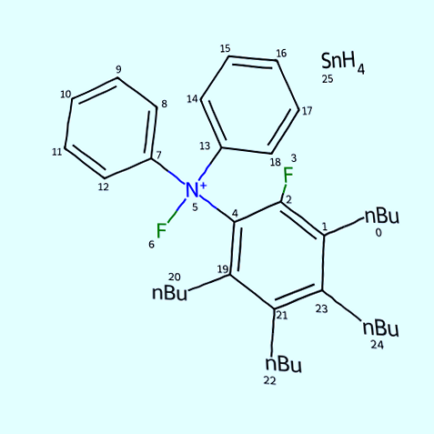 CCCCc1c(F)c([N+](F)(c2ccccc2)c2ccccc2)c(CCCC)c(CCCC)c1CCCC.[SnH4]